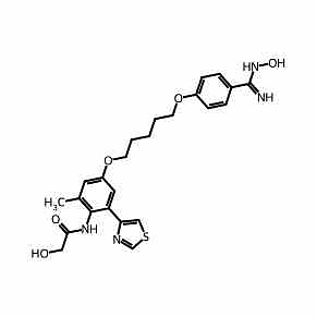 Cc1cc(OCCCCCOc2ccc(C(=N)NO)cc2)cc(-c2cscn2)c1NC(=O)CO